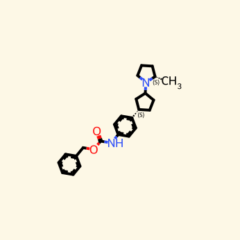 C[C@H]1CCCN1C1CC[C@H](c2ccc(NC(=O)OCc3ccccc3)cc2)C1